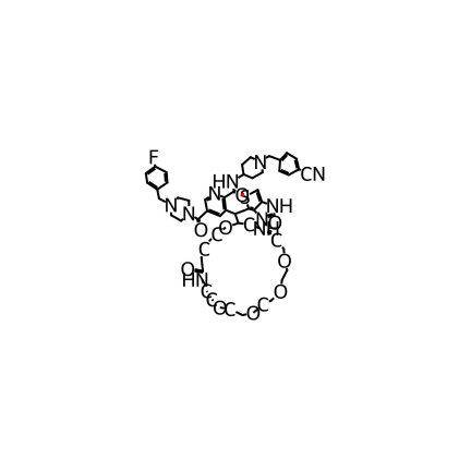 N#Cc1ccc(CN2CCC(NC(=O)c3ncc(C(=O)N4CCN(Cc5ccc(F)cc5)CC4)cc3C(c3scc4[nH]cnc34)C3CNC(=O)CCOCCOCCOCCOCCNC(=O)CCCCO3)CC2)cc1